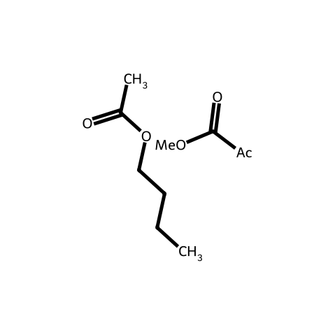 CCCCOC(C)=O.COC(=O)C(C)=O